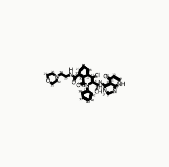 C[C@H](Nc1ncnc2[nH]ccc(=O)c12)c1c(Cl)c2cccc(C(=O)NCCN3CCOCC3)c2c(=O)n1-c1ccccc1